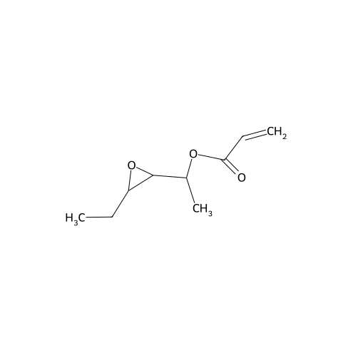 C=CC(=O)OC(C)C1OC1CC